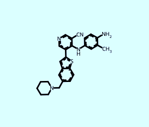 Cc1cc(Nc2c(C#N)cncc2-c2cc3cc(CN4CCCCC4)ccc3s2)ccc1N